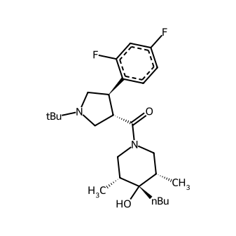 CCCC[C@@]1(O)[C@H](C)CN(C(=O)[C@@H]2CN(C(C)(C)C)C[C@H]2c2ccc(F)cc2F)C[C@@H]1C